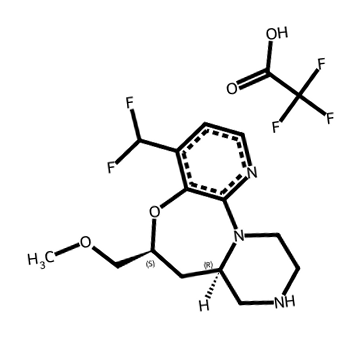 COC[C@@H]1C[C@@H]2CNCCN2c2nccc(C(F)F)c2O1.O=C(O)C(F)(F)F